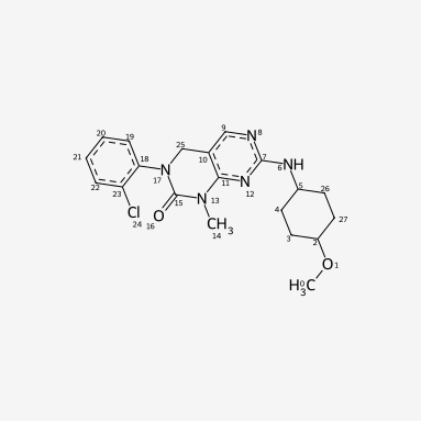 COC1CCC(Nc2ncc3c(n2)N(C)C(=O)N(c2ccccc2Cl)C3)CC1